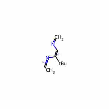 C=N/C=C(\N=C/C)C(C)(C)C